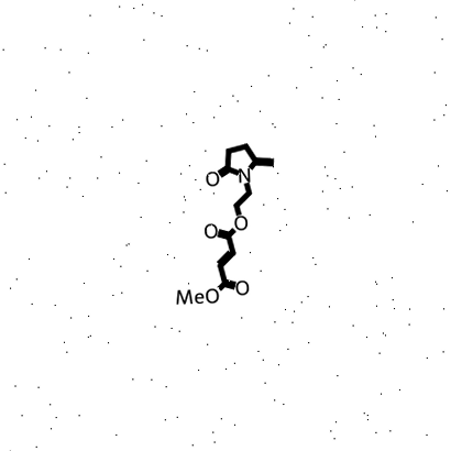 C=C1CCC(=O)N1CCOC(=O)/C=C/C(=O)OC